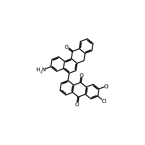 Nc1ccc2c3c(cc(-c4cccc5c4C(=O)c4cc(Cl)c(Cl)cc4C5=O)c2c1)Cc1ccccc1C3=O